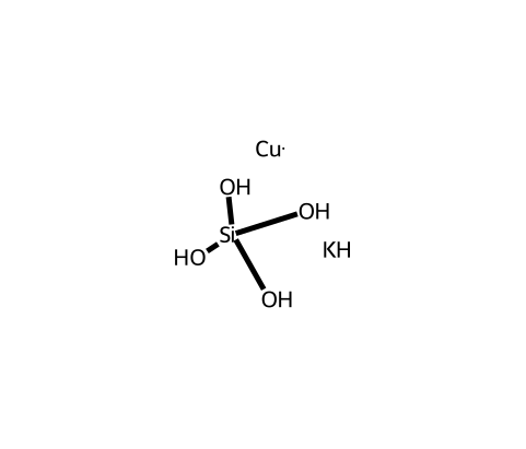 O[Si](O)(O)O.[Cu].[KH]